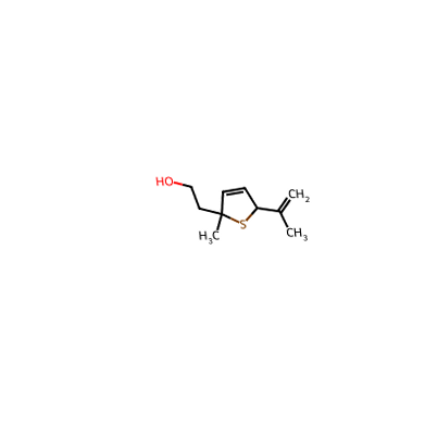 C=C(C)C1C=CC(C)(CCO)S1